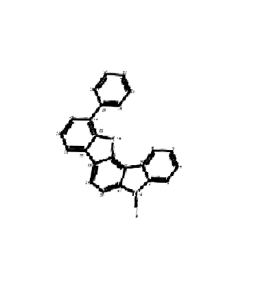 In1c2ccccc2c2c3sc4c(-c5ccccc5)cccc4c3ccc21